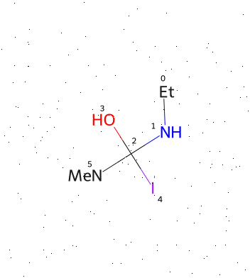 CCNC(O)(I)NC